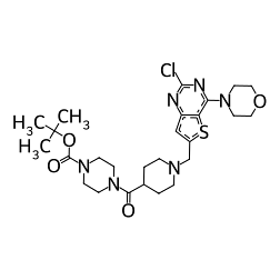 CC(C)(C)OC(=O)N1CCN(C(=O)C2CCN(Cc3cc4nc(Cl)nc(N5CCOCC5)c4s3)CC2)CC1